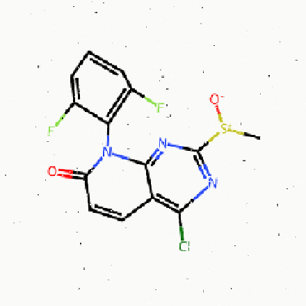 C[S+]([O-])c1nc(Cl)c2ccc(=O)n(-c3c(F)cccc3F)c2n1